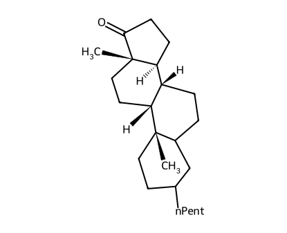 CCCCCC1CC[C@@]2(C)C(CC[C@@H]3[C@H]2CC[C@]2(C)C(=O)CC[C@@H]32)C1